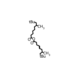 CC(CC=CCCC(=O)OC(=O)CCCCCC(C)CC(C)(C)C)CC(C)(C)C